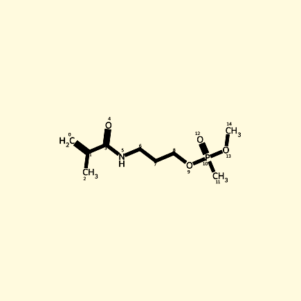 C=C(C)C(=O)NCCCOP(C)(=O)OC